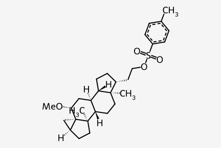 CO[C@@H]1C[C@H]2[C@@H]3CC[C@H](CCOS(=O)(=O)c4ccc(C)cc4)[C@@]3(C)CC[C@@H]2[C@@]2(C)CC[C@H]3C[C@]312